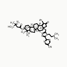 CC(C)C1=C2[C@H]3CC[C@@H]4[C@@]5(C)CC[C@H](OC(=O)CC(C)(C)C(=O)O)C(C)(C)[C@@H]5CC[C@@]4(C)[C@]3(C)CC[C@@]2(Cc2nnc(-c3ncc(C#N)cn3)n2CCN(C)C)CC1=O